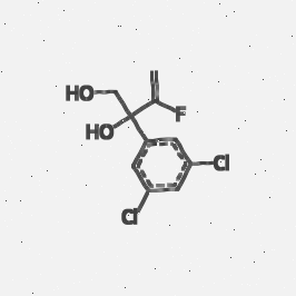 C=C(F)C(O)(CO)c1cc(Cl)cc(Cl)c1